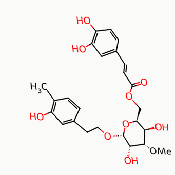 CO[C@@H]1[C@H](O)[C@H](OCCc2ccc(C)c(O)c2)O[C@@H](COC(=O)/C=C/c2ccc(O)c(O)c2)[C@H]1O